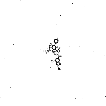 C[C@]1(C(N)=O)COc2c1cc(C(O)(CNC(=O)c1cc(Cl)c3cn(C4CC4)nc3c1)C(F)(F)F)nc2-c1ccc(F)cc1